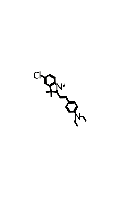 CCN(CC)c1ccc(/C=C/C2=[N+](C)c3ccc(Cl)cc3C2(C)C)cc1